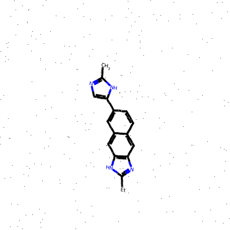 CCc1nc2cc3ccc(-c4cnc(C)[nH]4)cc3cc2[nH]1